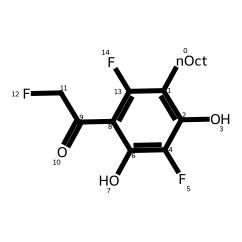 CCCCCCCCc1c(O)c(F)c(O)c(C(=O)CF)c1F